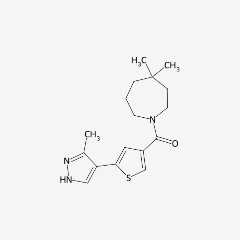 Cc1n[nH]cc1-c1cc(C(=O)N2CCCC(C)(C)CC2)cs1